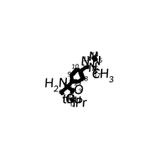 CC(C)OC(=O)[C@@](N)(CC(C)(C)C)c1ccc(-c2nnnn2C)cc1